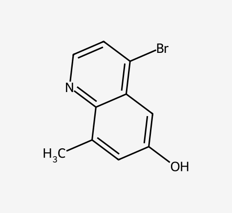 Cc1cc(O)cc2c(Br)ccnc12